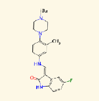 CCC(C)N1CCN(c2ccc(NC=C3C(=O)Nc4ccc(F)cc43)cc2C)CC1